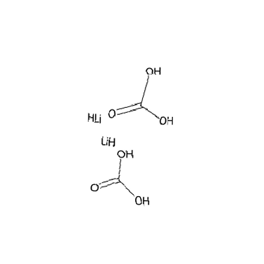 O=C(O)O.O=C(O)O.[LiH].[LiH]